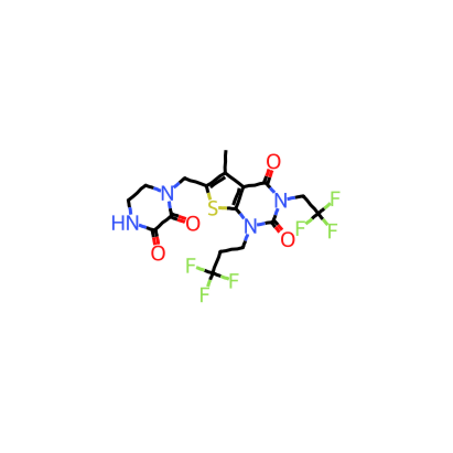 Cc1c(CN2CCNC(=O)C2=O)sc2c1c(=O)n(CC(F)(F)F)c(=O)n2CCC(F)(F)F